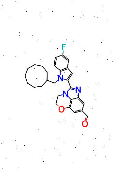 O=Cc1cc2c3c(c1)nc(-c1cc4cc(F)ccc4n1CC1CCCCCCCC1)n3CCO2